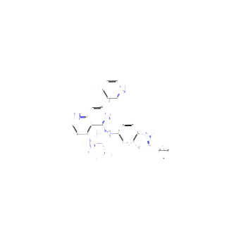 c1cncc(-c2cc3nccc(N4CCCC4)c3c(Nc3ccc4nc(C5CC5)sc4c3)n2)c1